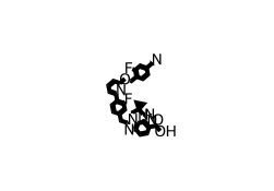 N#Cc1ccc(COc2cccc(-c3ccc(Cc4nc5ccc(C(=O)O)cc5n4CC4(n5ccnn5)CC4)cc3F)n2)c(F)c1